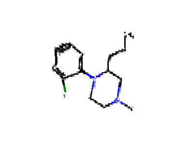 CCCC1CN(C)CCN1c1ccccc1F